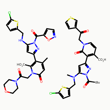 CN(Cc1ccc(Cl)s1)c1cc(-c2c(C(=O)O)ccn(CC(=O)c3ccsc3)c2=O)nn1C(=O)C(C)(C)C.Cc1cc(=O)n(CC(=O)N2CCOCC2)c(C(=O)O)c1-c1cc(NCc2ccc(Cl)s2)n(C(=O)c2ccno2)n1